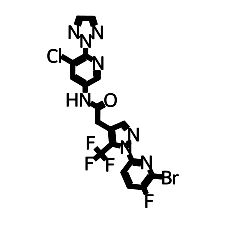 O=C(Cc1cnn(-c2ccc(F)c(Br)n2)c1C(F)(F)F)Nc1cnc(-n2nccn2)c(Cl)c1